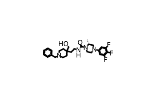 C[C@@H]1CN(c2cc(F)c(F)c(F)c2)CCN1C(=O)NCCC1(CO)CCN(Cc2ccccc2)CC1